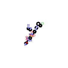 CN1CC2CC1CC2CNc1ccc(S(=O)(=O)NC(=O)c2ccc(N3CCN([C@@H]4CCCCc5c(Cl)cccc54)CC3)cc2Oc2cnc3[nH]ccc3c2)cc1[N+](=O)[O-]